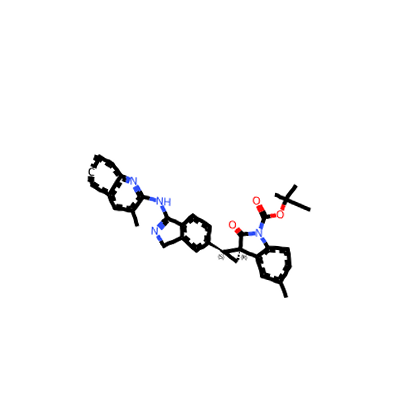 Cc1ccc2c(c1)[C@]1(C[C@H]1c1ccc3c(c1)CN=C3Nc1nc3ccccc3cc1C)C(=O)N2C(=O)OC(C)(C)C